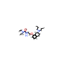 CCCN(CCC)C1CCc2cccc(OCCNC(=O)N(CC)CC)c2C1